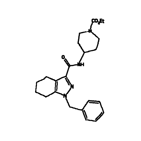 CCOC(=O)N1CCC(NC(=O)c2nn(Cc3ccccc3)c3c2CCCC3)CC1